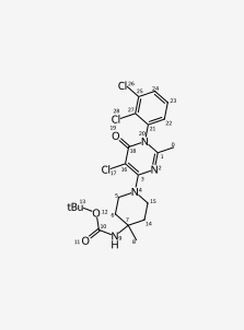 Cc1nc(N2CCC(C)(NC(=O)OC(C)(C)C)CC2)c(Cl)c(=O)n1-c1cccc(Cl)c1Cl